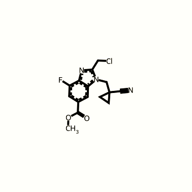 COC(=O)c1cc(F)c2nc(CCl)n(CC3(C#N)CC3)c2c1